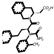 Cc1ccccc1N(C(N)=O)[C@@H](CCc1ccccc1)C(=O)N1Cc2ccccc2C[C@@H]1CC(=O)O